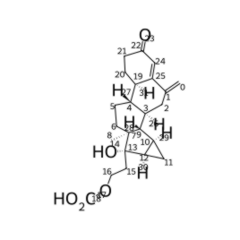 C=C1C[C@@H]2[C@H](CC[C@@]3(C)[C@H]2[C@H]2C[C@H]2[C@@]3(O)CCOC(=O)O)[C@H]2CCC(=O)C=C12